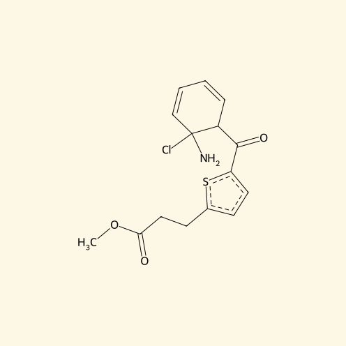 COC(=O)CCc1ccc(C(=O)C2C=CC=CC2(N)Cl)s1